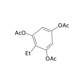 CCc1c(OC(C)=O)cc(OC(C)=O)cc1OC(C)=O